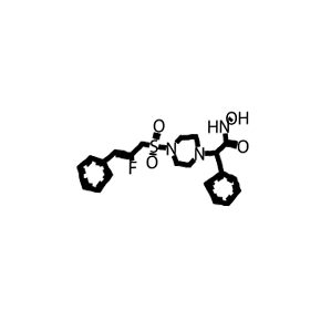 O=C(NO)C(c1ccccc1)N1CCN(S(=O)(=O)CC(F)=Cc2ccccc2)CC1